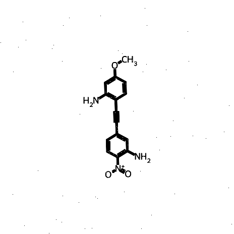 COc1ccc(C#Cc2ccc([N+](=O)[O-])c(N)c2)c(N)c1